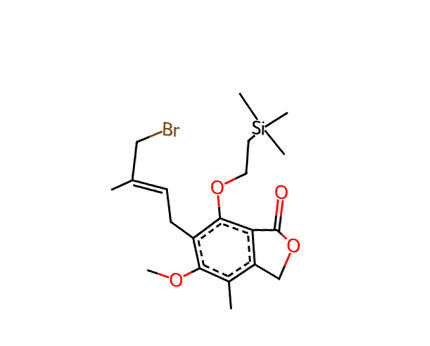 COc1c(C)c2c(c(OCC[Si](C)(C)C)c1C/C=C(\C)CBr)C(=O)OC2